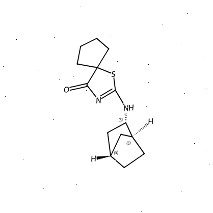 O=C1N=C(N[C@H]2C[C@H]3CC[C@H]2C3)SC12CCCC2